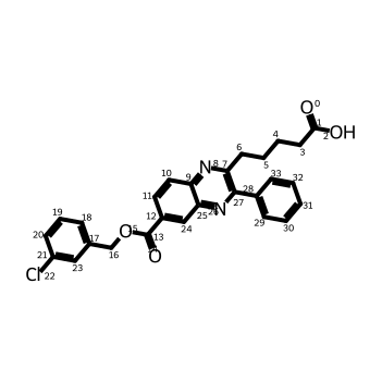 O=C(O)CCCCc1nc2ccc(C(=O)OCc3cccc(Cl)c3)cc2nc1-c1ccccc1